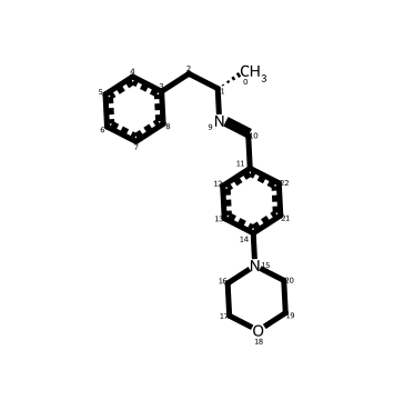 C[C@@H](Cc1ccccc1)/N=C/c1ccc(N2CCOCC2)cc1